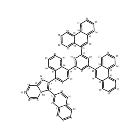 c1ccc2cc(-c3c(-c4ccc(-c5cc(-c6cc7ccccc7c7ccccc67)cc(-c6cc7ccccc7c7ccccc67)n5)c5ccccc45)nc4cnccn34)ccc2c1